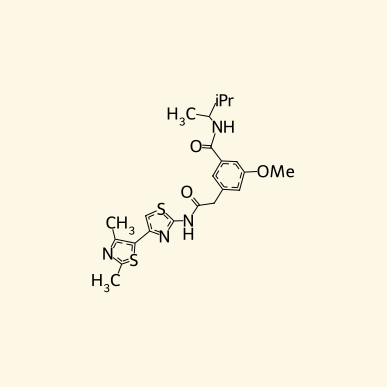 COc1cc(CC(=O)Nc2nc(-c3sc(C)nc3C)cs2)cc(C(=O)NC(C)C(C)C)c1